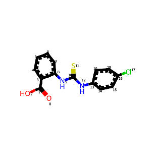 O=C(O)c1ccccc1NC(=S)Nc1ccc(Cl)cc1